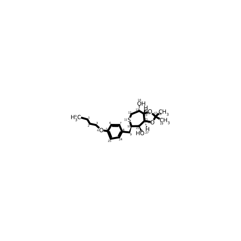 CCCCOc1ccc(C[C@H]2SC[C@H](O)[C@@H]3OC(C)(C)O[C@H]3[C@H]2O)cc1